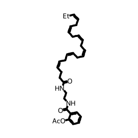 CC/C=C\C/C=C\C/C=C\C/C=C\C/C=C\C/C=C\CCC(=O)NCCNC(=O)c1ccccc1OC(C)=O